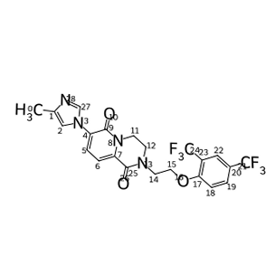 Cc1cn(-c2ccc3n(c2=O)CCN(CCOc2ccc(C(F)(F)F)cc2C(F)(F)F)C3=O)cn1